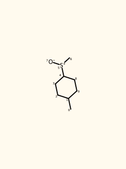 CC1CCC([S+](C)[O-])CC1